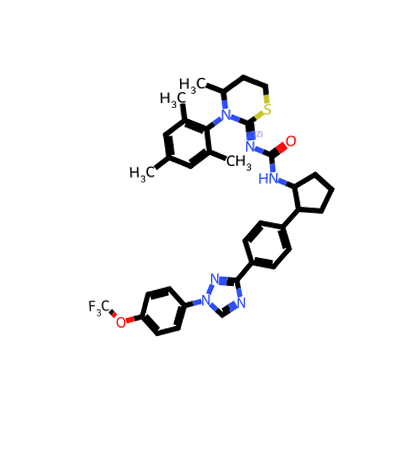 Cc1cc(C)c(N2/C(=N/C(=O)NC3CCCC3c3ccc(-c4ncn(-c5ccc(OC(F)(F)F)cc5)n4)cc3)SCCC2C)c(C)c1